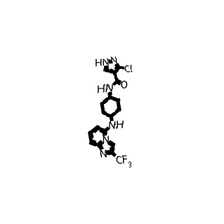 O=C(NC1CCC(Nc2cccc3nc(C(F)(F)F)cn23)CC1)c1c[nH]nc1Cl